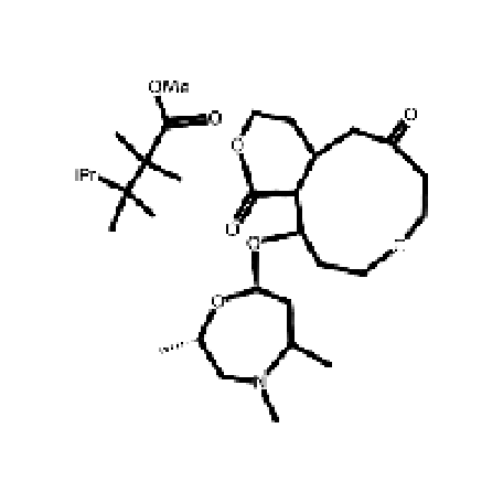 CC1C[C@H](OC2CCCCCC(=O)CC3CCOC(=O)C32)O[C@@H](C)CN1C.COC(=O)C(C)(C)C(C)(C)C(C)C